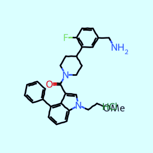 COCCn1cc(C(=O)N2CCC(c3cc(CN)ccc3F)CC2)c2c(-c3ccccc3)cccc21.Cl